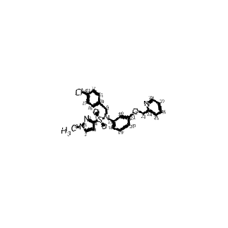 Cn1ccc(S(=O)(=O)N(Cc2ccc(Cl)cc2)c2cccc(OCc3ccccn3)c2)n1